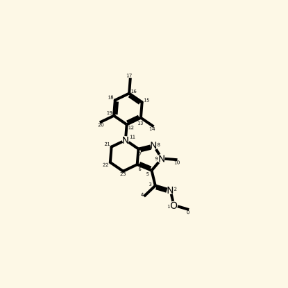 CO/N=C(\C)c1c2c(nn1C)N(c1c(C)cc(C)cc1C)CCC2